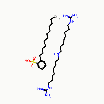 CCCCCCCCCCCCc1ccccc1S(=O)(=O)O.N=C(N)NCCCCCCCCNCCCCCCCCNC(=N)N